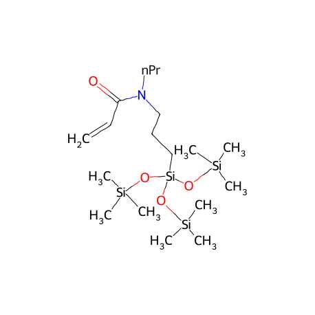 C=CC(=O)N(CCC)CCC[Si](O[Si](C)(C)C)(O[Si](C)(C)C)O[Si](C)(C)C